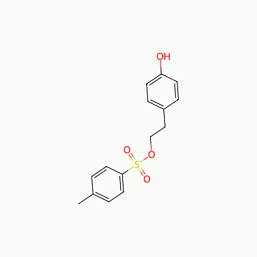 Cc1ccc(S(=O)(=O)OCCc2ccc(O)cc2)cc1